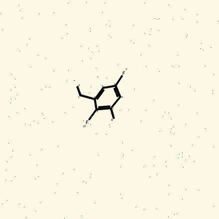 CCc1cc(F)cc(C)c1F